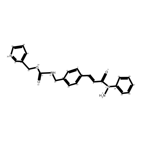 NN(C(=O)C=Cc1ccc(CNC(=O)OCc2cccnc2)cc1)c1ccccc1